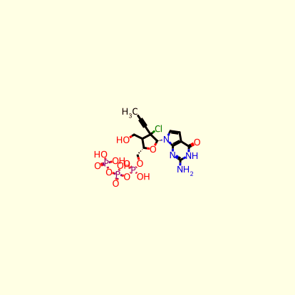 CC#CC1(Cl)C(CO)[C@@H](COP(=O)(O)OP(=O)(O)OP(=O)(O)O)O[C@H]1n1ccc2c(=O)[nH]c(N)nc21